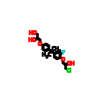 CC(C)(c1ccc(OC[C@H](O)CO)cc1)c1ccc(OC[C@@H](O)CCl)c(F)c1